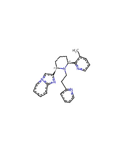 Cc1cccnc1[C@@H]1CCC[C@H](c2cn3ccccc3n2)N1CCc1ccccn1